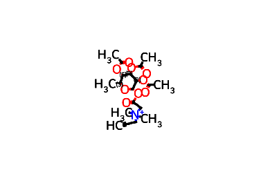 C#CC[N+](C)(C)CC(=O)OC1O[C@@H](C)[C@H](OC(C)=O)[C@@H](OC(C)=O)[C@H]1OC(C)=O